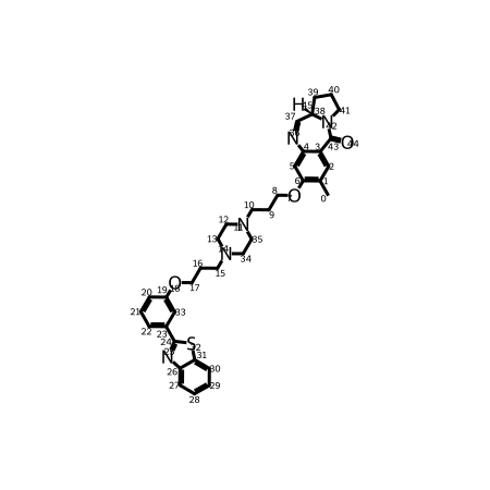 Cc1cc2c(cc1OCCCN1CCN(CCCOc3cccc(-c4nc5ccccc5s4)c3)CC1)N=C[C@@H]1CCCN1C2=O